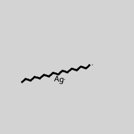 [Ag].[CH2]CCCCCCCCCCCCCCC